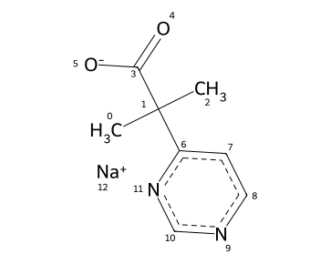 CC(C)(C(=O)[O-])c1ccncn1.[Na+]